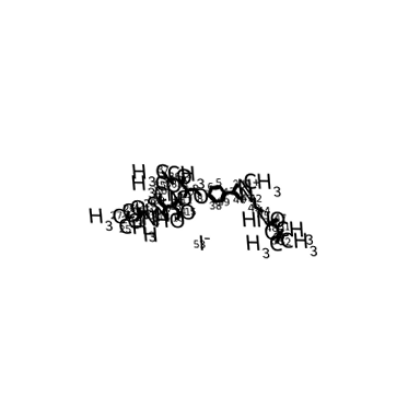 C[n+]1cc(-c2ccc(OCC(O/N=C(\C(=O)O)c3nc(NC(=O)OC(C)(C)C)sc3Cl)C(=O)OC(C)(C)C)cc2)cn1CCCNC(=O)OC(C)(C)C.[I-]